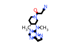 C[C@@H]1CCN(C(=O)CC#N)C[C@@H]1N(C)c1ncnc2ccnn12